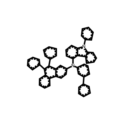 c1ccc(-c2cccc(N(c3ccc4c(c3)c(-c3ccccc3)c(-c3ccccc3)c3ccccc34)c3cccc4c3c3ccccc3n4-c3ccccc3)c2)cc1